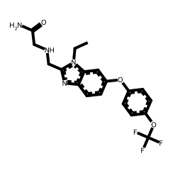 CCn1c(CNCC(N)=O)nc2ccc(Oc3ccc(OC(F)(F)F)cc3)cc21